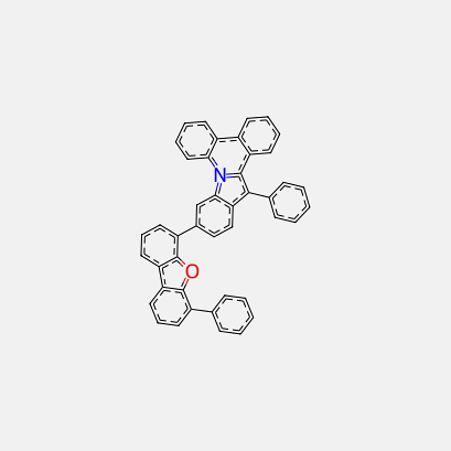 c1ccc(-c2cccc3c2oc2c(-c4ccc5c(-c6ccccc6)c6c7ccccc7c7ccccc7n6c5c4)cccc23)cc1